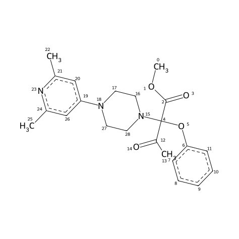 COC(=O)C(Oc1ccccc1)(C(C)=O)N1CCN(c2cc(C)nc(C)c2)CC1